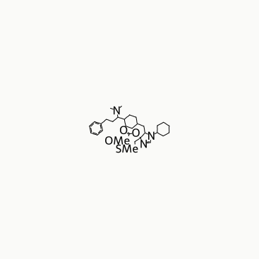 COC(=O)OC1(CSC)N=CN(C2CCCCC2)C1CC1CCC(C(CCc2ccccc2)N(C)C)CC1